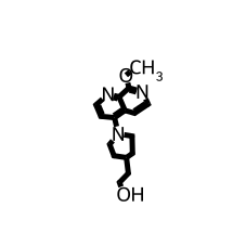 COc1nccc2c(N3CCC(CCO)CC3)ccnc12